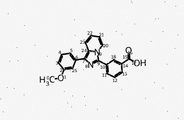 COc1cccc(-c2nc(-c3cccc(C(=O)O)c3)n3ccccc23)c1